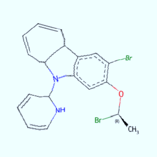 C[C@@H](Br)Oc1cc2c(cc1Br)C1C=CC=CC1N2C1C=CC=CN1